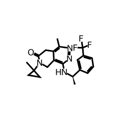 Cc1nnc(N[C@H](C)c2cccc(C(F)(F)F)c2)c2c1CC(=O)N(C1(C)CC1)C2